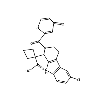 O=C(c1cc(=O)cco1)N1CCc2c([nH]c3ccc(Cl)cc23)C1C1(C(=O)O)CCC1